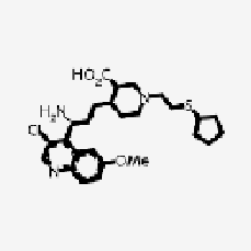 COc1ccc2ncc(Cl)c([C@H](N)CCC3CCN(CCSC4CCCC4)CC3C(=O)O)c2c1